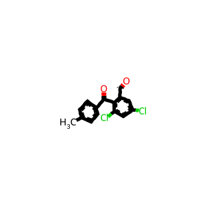 Cc1ccc(C(=O)c2c(Cl)cc(Cl)cc2[C]=O)cc1